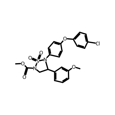 COC(=O)N1CC(c2cccc(OC)c2)N(c2ccc(Oc3ccc(Cl)cc3)cc2)S1(=O)=O